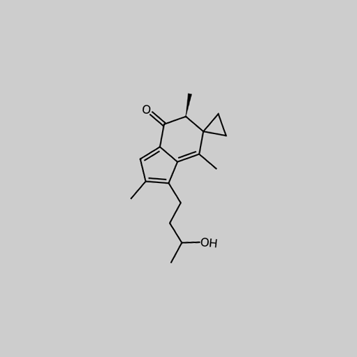 CC1=C(CCC(C)O)C2=C(C)C3(CC3)[C@H](C)C(=O)C2=C1